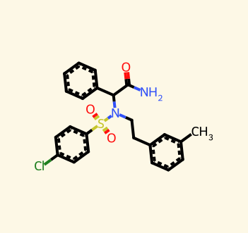 Cc1cccc(CCN(C(C(N)=O)c2ccccc2)S(=O)(=O)c2ccc(Cl)cc2)c1